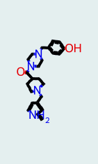 C=C/C=C(\C=C/N)CN1CCC(C(=O)N2CCN(Cc3ccc(O)cc3)CC2)CC1